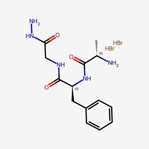 Br.Br.C[C@H](N)C(=O)N[C@@H](Cc1ccccc1)C(=O)NCC(=O)NN